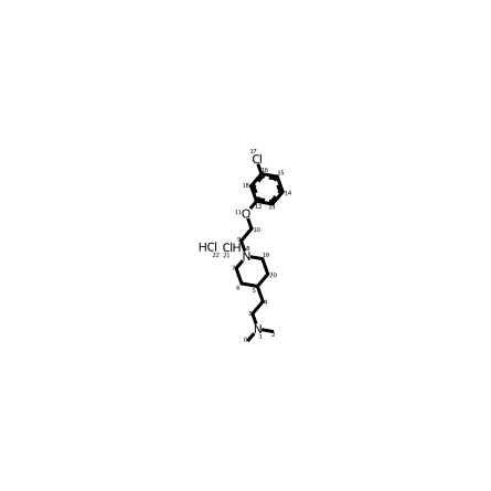 CN(C)CCC1CCN(CCOc2cccc(Cl)c2)CC1.Cl.Cl